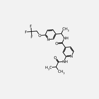 CC(C)C(=O)Nc1cc(C(=O)NC(C)c2ccc(OCC(F)(F)F)nc2)ccn1